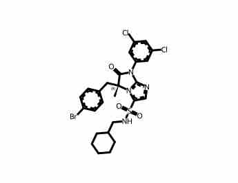 C[C@@]1(Cc2ccc(Br)cc2)C(=O)N(c2cc(Cl)cc(Cl)c2)c2ncc(S(=O)(=O)NCC3CCCCC3)n21